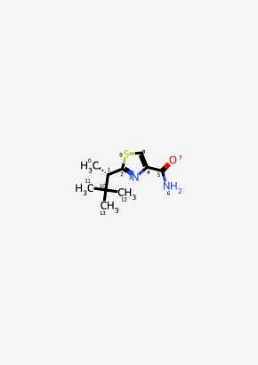 C[C@H](c1nc(C(N)=O)cs1)C(C)(C)C